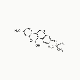 Cc1ccc2c(c1)OC(O)C1=C2COc2cc(O[Si](C)(C)C(C)(C)C)ccc21